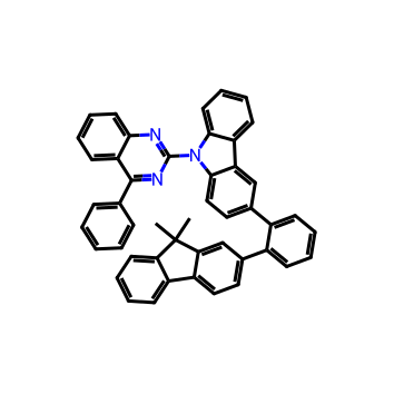 CC1(C)c2ccccc2-c2ccc(-c3ccccc3-c3ccc4c(c3)c3ccccc3n4-c3nc(-c4ccccc4)c4ccccc4n3)cc21